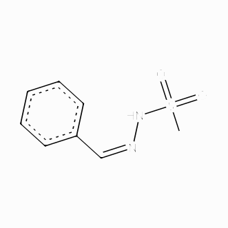 O=S(=O)(I)N/N=C\c1ccccc1